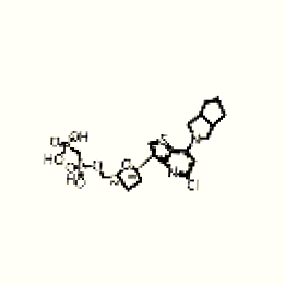 O=P(O)(O)CP(=O)(O)OC[C@@H]1CC[C@H](c2csc3c(N4CC5CCCC5C4)cc(Cl)nc23)O1